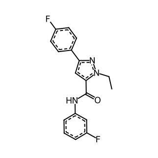 CCn1nc(-c2ccc(F)cc2)cc1C(=O)Nc1cccc(F)c1